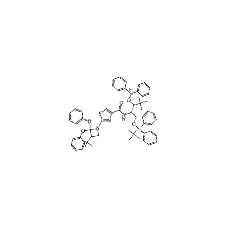 CC(C)(C)C(O[SiH](c1ccccc1)c1ccccc1)C(CO[Si](c1ccccc1)(c1ccccc1)C(C)(C)C)NC(=O)c1csc(N2CC(C(C)(C)C)C2(Oc2ccccc2)Oc2ccccc2)n1